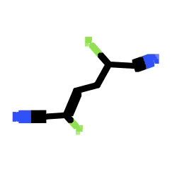 N#C/C(F)=C/CC(F)C#N